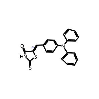 O=C1NC(=S)S/C1=C\c1ccc(N(c2ccccc2)c2ccccc2)cc1